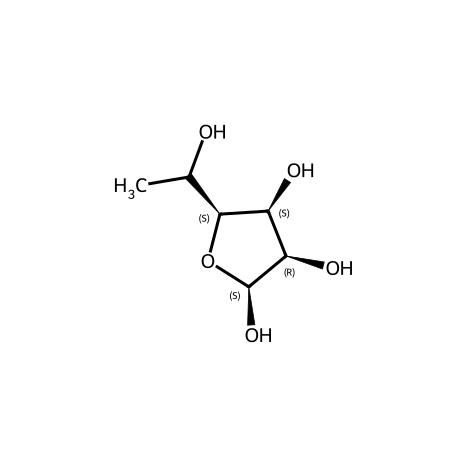 CC(O)[C@@H]1O[C@H](O)[C@H](O)[C@@H]1O